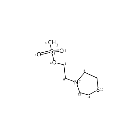 CS(=O)(=O)OCCN1CCSCC1